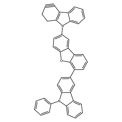 C1#Cc2c(n(-c3ccc4oc5c(-c6ccc7c(c6)c6ccccc6n7-c6ccccc6)cccc5c4c3)c3ccccc23)CC1